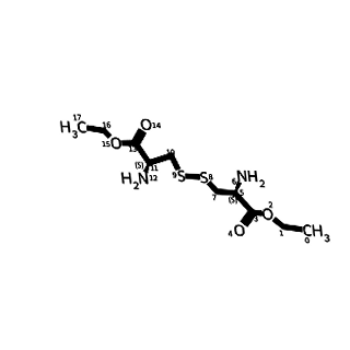 CCOC(=O)[C@H](N)CSSC[C@@H](N)C(=O)OCC